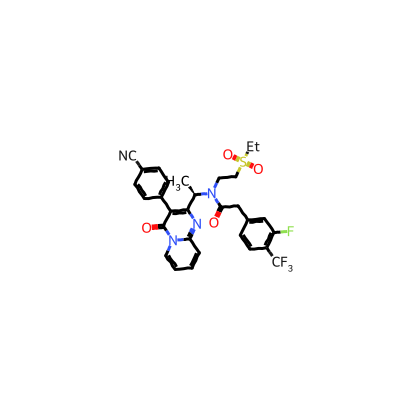 CCS(=O)(=O)CCN(C(=O)Cc1ccc(C(F)(F)F)c(F)c1)[C@H](C)c1nc2ccccn2c(=O)c1-c1ccc(C#N)cc1